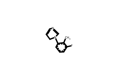 Cc1c(F)c[c]cc1N1C=NC=CC1